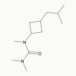 CC(C)CC1CC(N(C)C(=O)N(C)C)C1